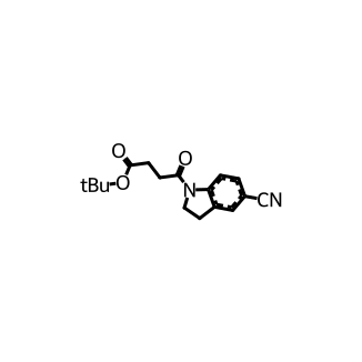 CC(C)(C)OC(=O)CCC(=O)N1CCc2cc(C#N)ccc21